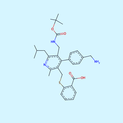 Cc1nc(CC(C)C)c(CNC(=O)OC(C)(C)C)c(-c2ccc(CN)cc2)c1CSc1ccccc1C(=O)O